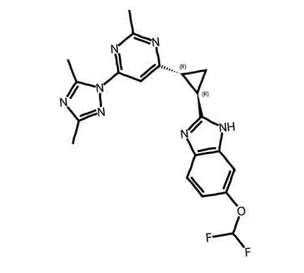 Cc1nc([C@@H]2C[C@H]2c2nc3ccc(OC(F)F)cc3[nH]2)cc(-n2nc(C)nc2C)n1